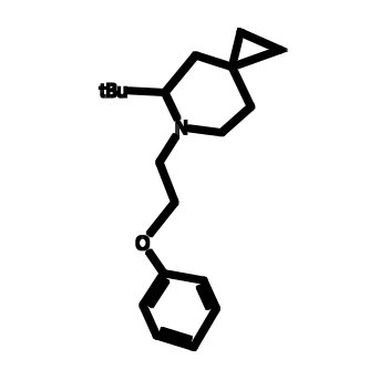 CC(C)(C)C1CC2(CCN1CCOc1ccccc1)CC2